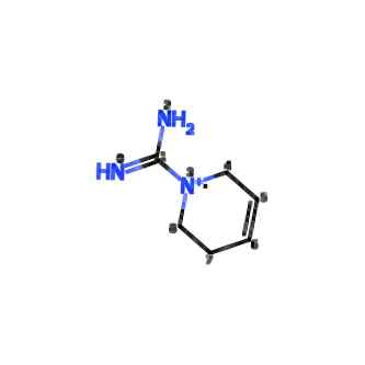 N=C(N)[N+]1CC=CCC1